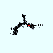 CCOC(=O)CCNC(=O)c1nc(NC(=O)CCNC(=O)c2cc(NC(=O)c3nc(NC(=O)CCNC(=O)c4cc(NC(=O)c5nccn5C)cn4C)cn3C)cn2CCCCCCN=[N+]=[N-])cn1C